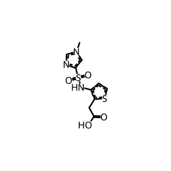 Cn1cnc(S(=O)(=O)Nc2ccsc2CC(=O)O)c1